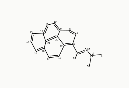 C/C(=N\N(C)C)c1ccc2ccc3cccc4ccc1c2c34